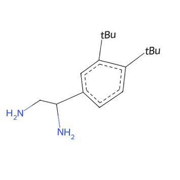 CC(C)(C)c1ccc(C(N)CN)cc1C(C)(C)C